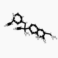 CCc1cc2ccc(C(C)(C#N)Cc3ccnc(C#N)c3)cc2[nH]c1=O